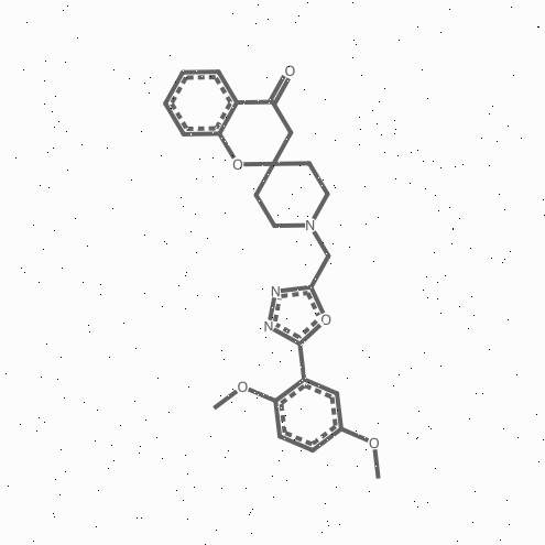 COc1ccc(OC)c(-c2nnc(CN3CCC4(CC3)CC(=O)c3ccccc3O4)o2)c1